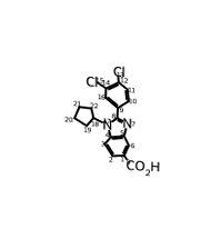 O=C(O)c1ccc2c(c1)nc(-c1ccc(Cl)c(Cl)c1)n2C1CCCC1